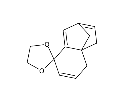 C1=CC2(OCCO2)C2=CC3=CCC2(C1)C3